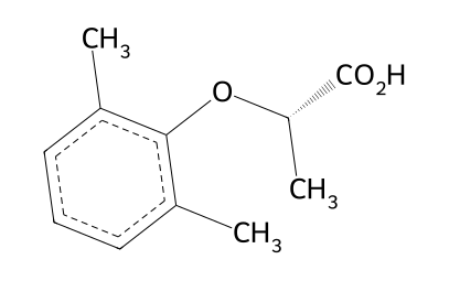 Cc1cccc(C)c1O[C@@H](C)C(=O)O